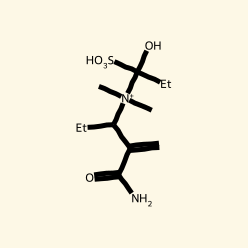 C=C(C(N)=O)C(CC)[N+](C)(C)C(O)(CC)S(=O)(=O)O